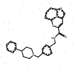 O=C(NCc1ccc(CN2CCC(c3ccccc3)CC2)cc1)C1=Cc2cnc3cccc(n23)S1